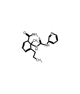 CCCC1=CC=CC(C(N)=O)C1(C)NC(=S)Nc1cccnc1